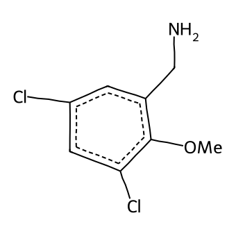 COc1c(Cl)cc(Cl)cc1CN